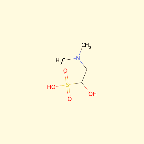 CN(C)CC(O)S(=O)(=O)O